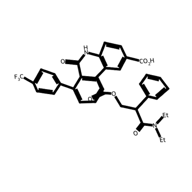 CCN(CC)C(=O)C(COC(=O)Cc1cc(C(=O)O)ccc1NC(=O)c1ccccc1-c1ccc(C(F)(F)F)cc1)c1ccccc1